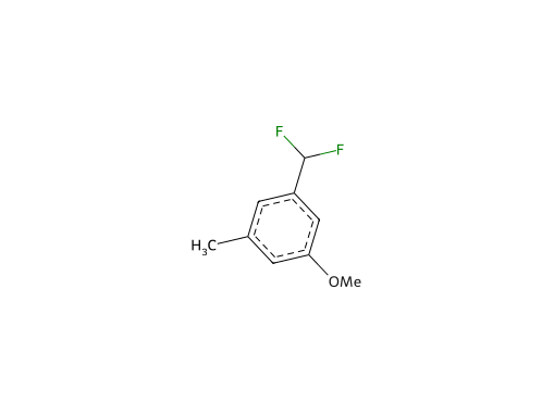 COc1cc(C)cc(C(F)F)c1